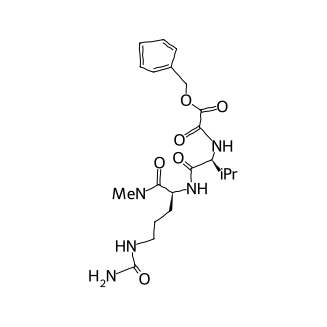 CNC(=O)[C@H](CCCNC(N)=O)NC(=O)[C@@H](NC(=O)C(=O)OCc1ccccc1)C(C)C